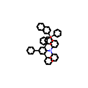 c1ccc(-c2cc(-c3ccccc3)c(N(c3ccccc3)c3cccc([Si](c4ccccc4)(c4ccccc4)c4ccc5ccccc5c4)c3)c(-c3ccccc3)c2)cc1